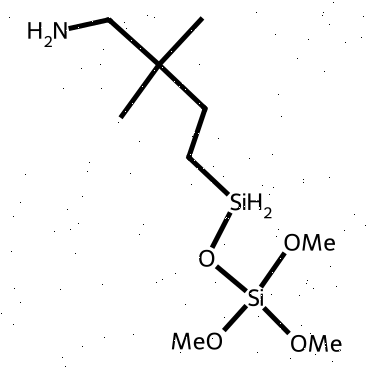 CO[Si](OC)(OC)O[SiH2]CCC(C)(C)CN